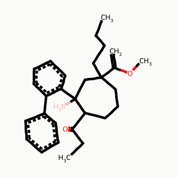 BC1(c2ccccc2-c2ccccc2)CC(CCCC)(C(=C)OC)CCCC1C(=O)CC